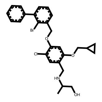 CC(CO)NCc1cc(Cl)c(OCc2cccc(-c3ccccc3)c2Br)cc1OCC1CC1